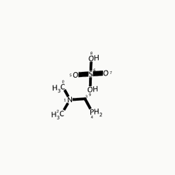 CN(C)CP.O=S(=O)(O)O